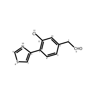 O=CCc1ccc(-c2cscn2)c(Cl)c1